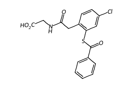 O=C(O)CNC(=O)Cc1ccc(Cl)cc1SC(=O)c1ccccc1